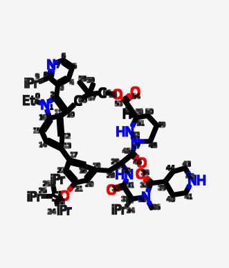 CCn1c(-c2cccnc2C(C)C)c2c3cc(ccc31)-c1cc(cc(O[Si](C(C)C)(C(C)C)C(C)C)c1)C[C@H](NC(=O)[C@H](C(C)C)N(C)C(=O)C1CCNCC1)C(=O)N1CCC[C@H](N1)C(=O)OCC(C)(C)C2